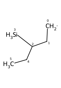 [CH2]CC([SiH3])CC